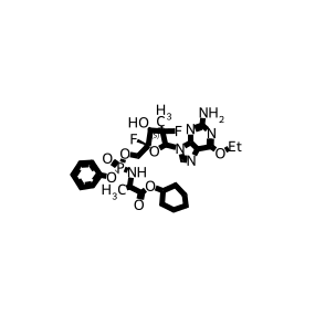 CCOC1=NC(N)=NC2C1N=CN2C1O[C@](F)(COP(=O)(NC(C)C(=O)OC2CCCCC2)Oc2ccccc2)[C@@H](O)[C@@]1(C)F